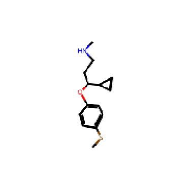 CNCCC(Oc1ccc(SC)cc1)C1CC1